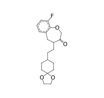 O=C1COc2c(F)cccc2CC1CCC1CCC2(CC1)OCCO2